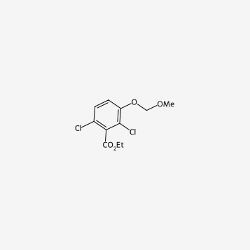 CCOC(=O)c1c(Cl)ccc(OCOC)c1Cl